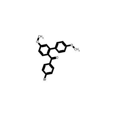 COc1ccc(-c2cc(OC)ccc2C(=O)c2ccc(Br)cc2)cc1